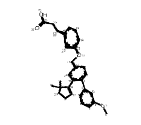 COc1cccc(-c2ccc(COc3cccc(CCC(=O)O)c3)cc2C2=CCCC2(C)C)c1